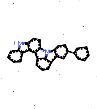 c1ccc(-c2ccc3c(c2)c2cccc4c5c6c(ccc5n3c24)[nH]c2ccccc26)cc1